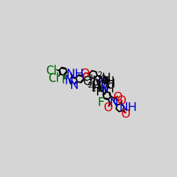 [2H]C1([2H])N(CC2CCC(Oc3cc4c(Nc5ccc(Cl)c(Cl)c5F)ncnc4cc3OC)CC2)C([2H])([2H])C([2H])([2H])N(c2cc(F)c3c(c2)C(=O)N(C2CCC(=O)NC2=O)C3=O)C1([2H])[2H]